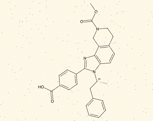 COC(=O)N1CCc2ccc3c(nc(-c4ccc(C(=O)O)cc4)n3[C@H](C)Cc3ccccc3)c2C1